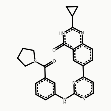 O=C(c1cccc(Nc2nccc(-c3ccc4nc(C5CC5)[nH]c(=O)c4c3)n2)c1)N1CCCC1